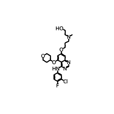 CN(CCO)CCCOc1cc(OC2CCOCC2)c2c(Nc3ccc(F)c(Cl)c3)ncnc2c1